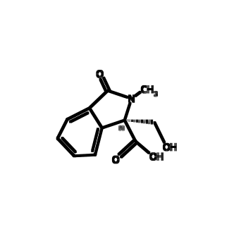 CN1C(=O)c2ccccc2[C@]1(CO)C(=O)O